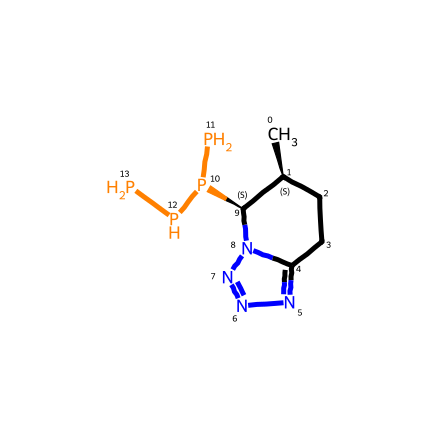 C[C@H]1CCc2nnnn2[C@H]1P(P)PP